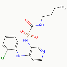 CCCCNC(=O)S(=O)(=O)Nc1cnccc1Nc1ccccc1Cl